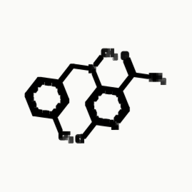 CN(Cc1cccc(C(F)(F)F)c1)c1cc(Cl)ncc1C(N)=O